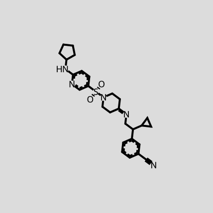 N#Cc1cccc(C(CN=C2CCN(S(=O)(=O)c3ccc(NC4CCCC4)nc3)CC2)C2CC2)c1